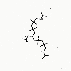 CC(=O)CN(CC(C)(C)CC(C)(C)CNC(C)C)CC(C)(C)CC(C)(C)CNC(C)C